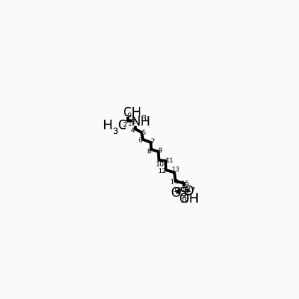 CC(C)NCCCCCCCCCCCCS(=O)(=O)O